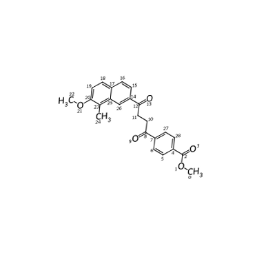 COC(=O)c1ccc(C(=O)CCC(=O)c2ccc3ccc(OC)c(C)c3c2)cc1